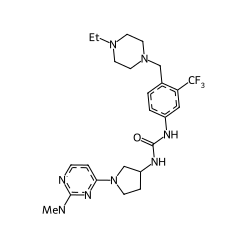 CCN1CCN(Cc2ccc(NC(=O)NC3CCN(c4ccnc(NC)n4)C3)cc2C(F)(F)F)CC1